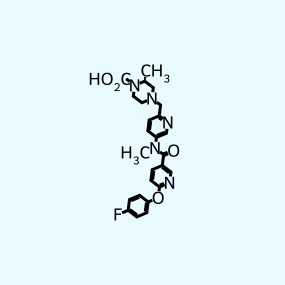 C[C@H]1CN(Cc2ccc(N(C)C(=O)c3ccc(Oc4ccc(F)cc4)nc3)cn2)CCN1C(=O)O